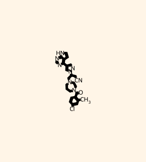 Cc1cc(Cl)ccc1C(=O)N1CCCN(CC(CC#N)n2cc(-c3ncnc4[nH]ccc34)cn2)CC1